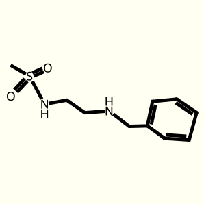 CS(=O)(=O)NCCNCc1ccccc1